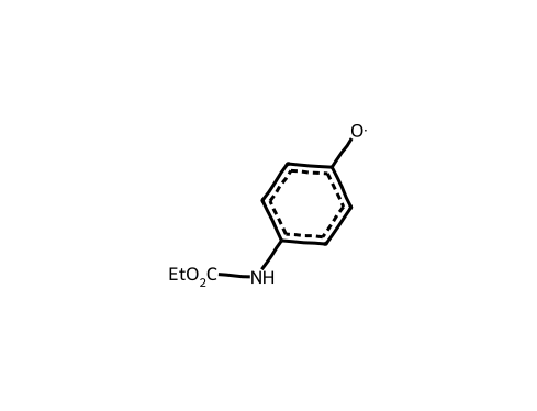 [CH2]COC(=O)Nc1ccc([O])cc1